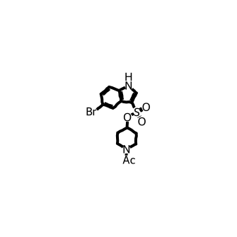 CC(=O)N1CCC(OS(=O)(=O)c2c[nH]c3ccc(Br)cc23)CC1